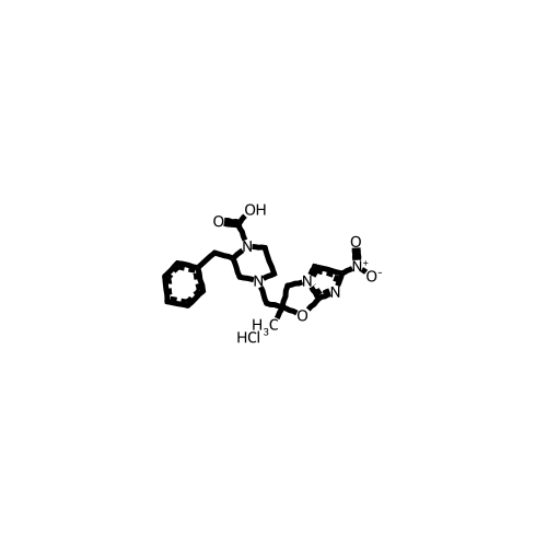 CC1(CN2CCN(C(=O)O)C(Cc3ccccc3)C2)Cn2cc([N+](=O)[O-])nc2O1.Cl